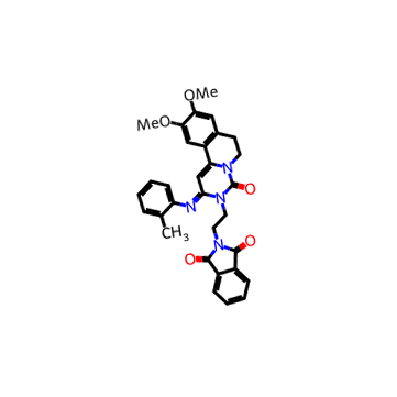 COc1cc2c(cc1OC)-c1c/c(=N\c3ccccc3C)n(CCN3C(=O)c4ccccc4C3=O)c(=O)n1CC2